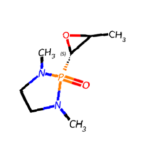 CC1O[C@H]1P1(=O)N(C)CCN1C